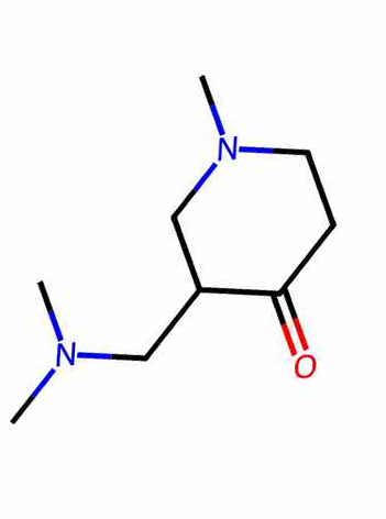 CN(C)CC1CN(C)CCC1=O